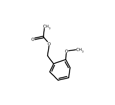 COc1ccccc1COC(C)=O